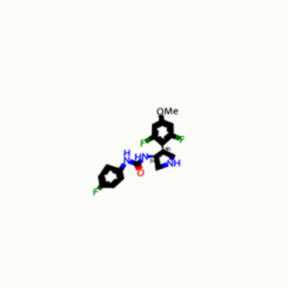 COc1cc(F)c([C@@H]2CNC[C@H]2NC(=O)Nc2ccc(F)cc2)c(F)c1